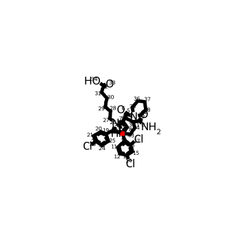 NC(=O)C1([N+]2(C(=O)c3cc(-c4ccc(Cl)cc4Cl)c(-c4ccc(Cl)cc4)n3CCCCCC(=O)O)CCCCC2)CCNCC1